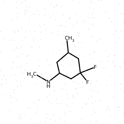 CNC1CC(C)CC(F)(F)C1